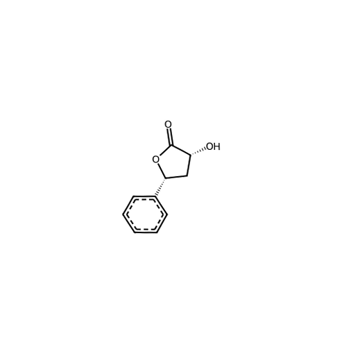 O=C1O[C@@H](c2ccccc2)C[C@H]1O